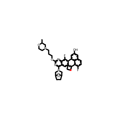 CC1CN(CCCOc2nc(N3CC4CCC(C3)N4)c3cc(Cl)c(-c4cc(O)cc5ccc(F)c(C67CC(C6)C7)c45)c(F)c3n2)CCO1